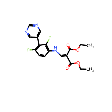 CCOC(=O)C(=CNc1ccc(F)c(-c2cncnc2)c1F)C(=O)OCC